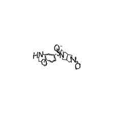 O=CN1CC2=C(C1)CN([S+]([O-])c1ccc3c(c1)NCCO3)C2